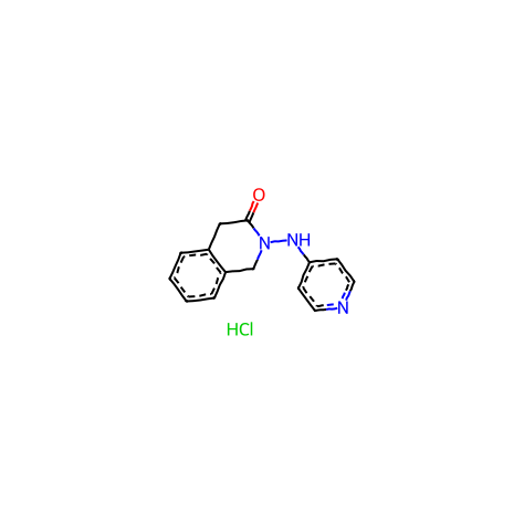 Cl.O=C1Cc2ccccc2CN1Nc1ccncc1